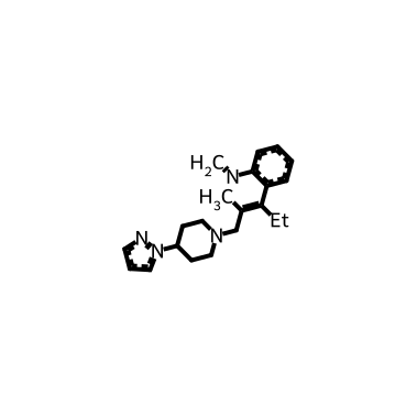 C=Nc1ccccc1/C(CC)=C(\C)CN1CCC(n2cccn2)CC1